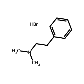 Br.CN(C)CCc1ccccc1